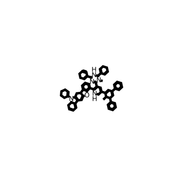 CC1C(C2=CC(C3=NC(C4=CCCC#C4)NC(C4=CCCC=C4)N3C)=C(c3cccc4c3OC3=CC5=C(CC34)N(C3=CCCCC3)C3CC=CC=C53)NC2)=CC(c2ccccc2)=CC1c1ccccc1